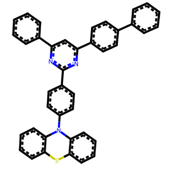 c1ccc(-c2ccc(-c3cc(-c4ccccc4)nc(-c4ccc(N5c6ccccc6Sc6ccccc65)cc4)n3)cc2)cc1